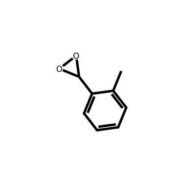 Cc1ccccc1C1OO1